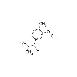 COc1cc(C(=O)C(C)C)ccc1C